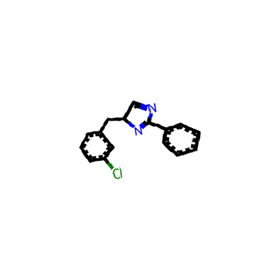 Clc1cccc(CC2C=NC(c3ccccc3)=N2)c1